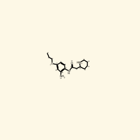 CCCOc1ccc(NC(=O)CC2CCCCN2)c(N)c1